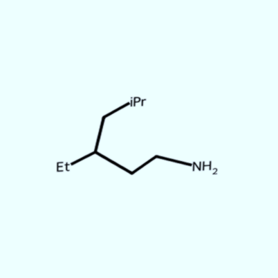 CCC(CCN)CC(C)C